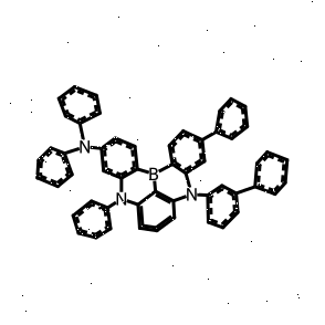 C1=C=C2C3=C(C=1)N(c1cccc(-c4ccccc4)c1)c1cc(-c4ccccc4)ccc1B3c1ccc(N(c3ccccc3)c3ccccc3)cc1N2c1ccccc1